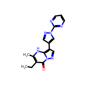 CCc1c(C)[nH]c2c(-c3cnn(-c4ncccn4)c3)cnn2c1=O